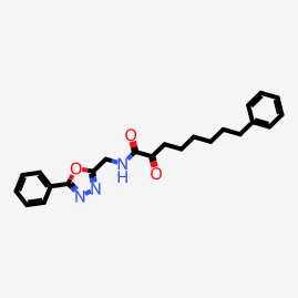 O=C(CCCCCCc1ccccc1)C(=O)NCc1nnc(-c2ccccc2)o1